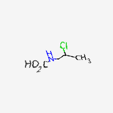 CC(Cl)CNC(=O)O